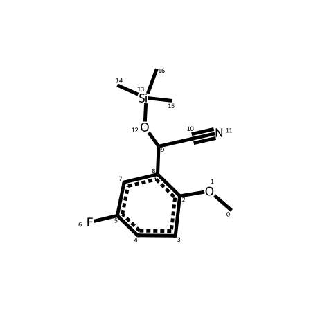 COc1ccc(F)cc1C(C#N)O[Si](C)(C)C